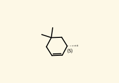 C[C@@H]1C=CCC(C)(C)C1